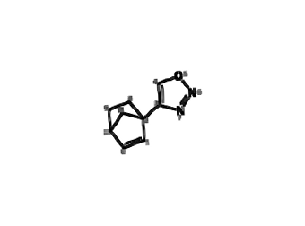 C1=CC2(c3conn3)CCC1C2